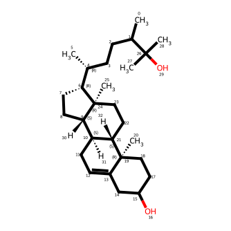 CC(CC[C@@H](C)[C@H]1CC[C@H]2[C@@H]3CC=C4CC(O)CC[C@]4(C)[C@H]3CC[C@]12C)C(C)(C)O